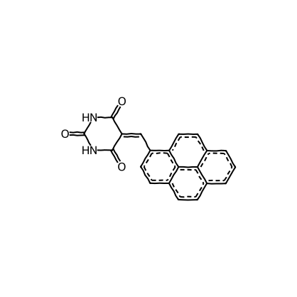 O=C1NC(=O)C(=Cc2ccc3ccc4cccc5ccc2c3c45)C(=O)N1